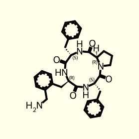 NCc1ccccc1C[C@H]1NC(=O)[C@H](Cc2ccccc2)NC(=O)[C@H]2CCCN2C(=O)[C@H](Cc2ccccc2)NC1=O